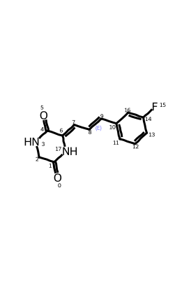 O=C1CNC(=O)C(=C/C=C/c2cccc(F)c2)N1